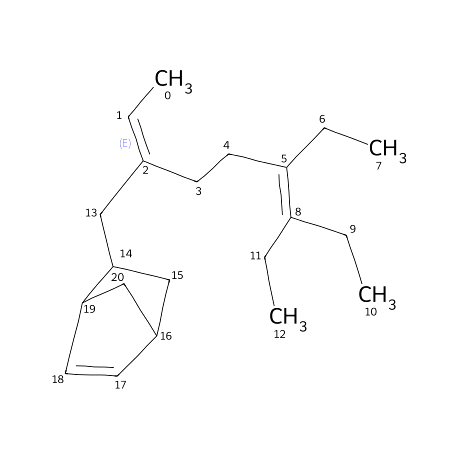 C/C=C(\CCC(CC)=C(CC)CC)CC1CC2C=CC1C2